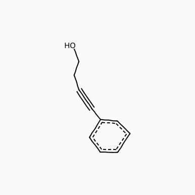 OCCC#Cc1ccccc1